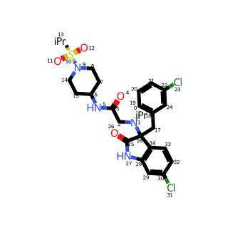 CC(C)N(CC(=O)NC1CCN(S(=O)(=O)C(C)C)CC1)C1(Cc2cccc(Cl)c2)C(=O)Nc2cc(Cl)ccc21